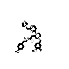 COc1ccc(CCNC(=O)CC2CN(Cc3ccc(OC)c(F)c3)CCN2c2ccnc(Cn3ccnc3)n2)cc1